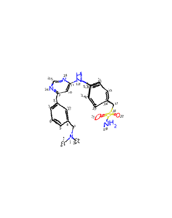 CCN(CC)Cc1cccc(-c2cc(Nc3ccc(CS(N)(=O)=O)cc3)ncn2)c1